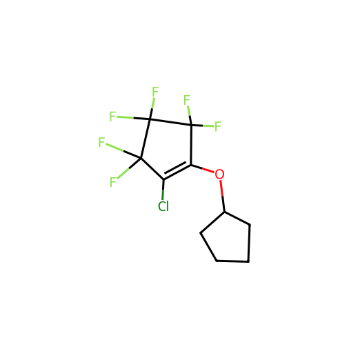 FC1(F)C(Cl)=C(OC2CCCC2)C(F)(F)C1(F)F